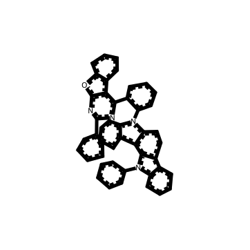 c1ccc(-c2nc(-c3ccccc3-n3c4ccccc4c4c3ccc3c5ccccc5n(-c5ccccc5)c34)c3c(n2)oc2ccccc23)cc1